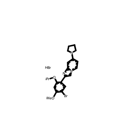 Br.COc1cc(OC(C)C)c(-c2cn3ccc(N4CCCC4)cc3n2)cc1Br